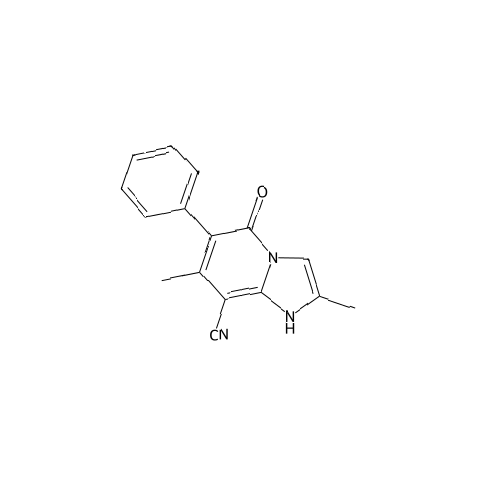 Cc1cn2c(=O)c(-c3ccccc3)c(C)c(C#N)c2[nH]1